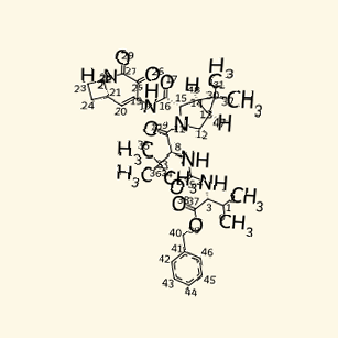 CC(C)[C@@H](NC(=O)N[C@H](C(=O)N1C[C@H]2[C@@H]([C@H]1C(=O)N/C(=C/C1CCC1)C(=O)C(N)=O)C2(C)C)C(C)(C)C)C(=O)OCc1ccccc1